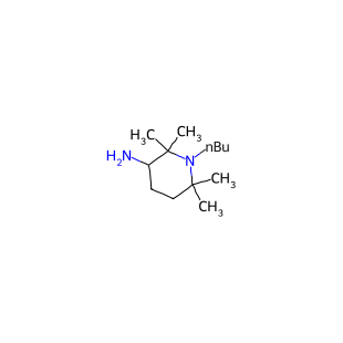 CCCCN1C(C)(C)CCC(N)C1(C)C